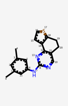 Cc1cc(C)cc(Nc2ncc3c(n2)-c2ccsc2CC3)c1